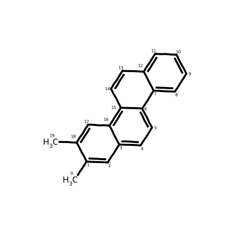 Cc1[c]c2ccc3c4ccccc4ccc3c2cc1C